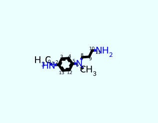 CNc1ccc(N(C)CCCN)cc1